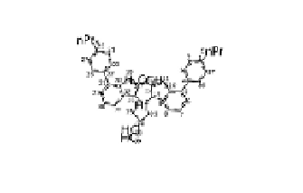 CCCc1ccc(-c2cccc3c2C=C(C)[CH]3[Hf]2([CH]3C(C)=Cc4c(-c5ccc(CCC)cc5)cccc43)[CH2]C[CH2]2)cc1.Cl.Cl